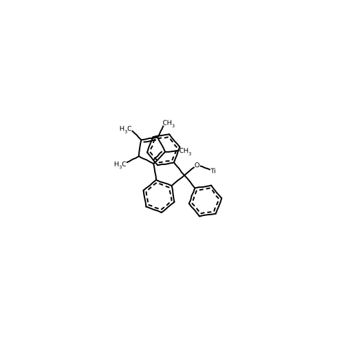 CC1=C(C)C(C)C(c2ccccc2C([O][Ti])(c2ccccc2)c2ccccc2)=C1C